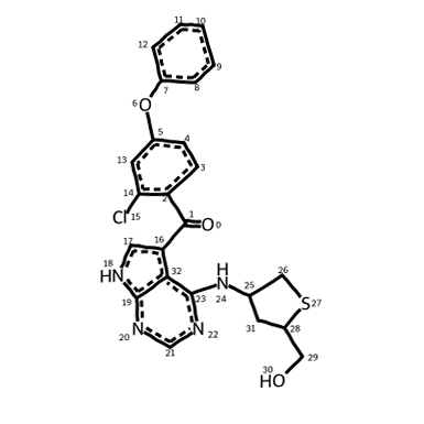 O=C(c1ccc(Oc2ccccc2)cc1Cl)c1c[nH]c2ncnc(NC3CSC(CO)C3)c12